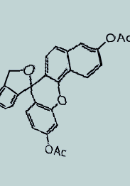 CC(=O)Oc1ccc2c(c1)Oc1c(ccc3cc(OC(C)=O)ccc13)C21OCc2ccccc21